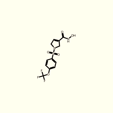 O=C(NO)C1=CCN(S(=O)(=O)c2ccc(OC(F)(F)F)cc2)C1